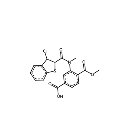 COC(=O)c1ccc(C(=O)O)cc1N(C)C(=O)C1Sc2ccccc2C1Cl